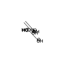 CCC(CO)(CO)CO.CCCCCCCCCCCCCCCCCC(=O)O.CCCCCCCCCCCCCCCCCC(=O)O.CCCCCCCCCCCCCCCCCC(=O)O